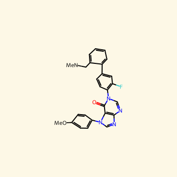 CNCc1ccccc1-c1ccc(-n2cnc3ncn(-c4ccc(OC)cc4)c3c2=O)c(F)c1